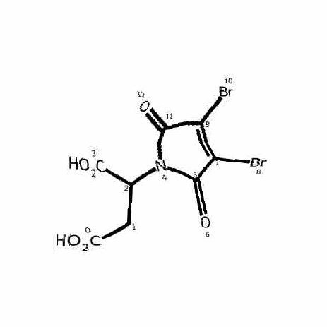 O=C(O)CC(C(=O)O)N1C(=O)C(Br)=C(Br)C1=O